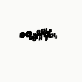 Cc1c(F)cc([C@@H](C)NC(=O)c2coc(Oc3cccc(C4CCCC4)c3)n2)cc1F